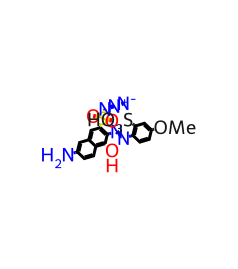 COc1ccc(N=Nc2c(S(=O)(=O)N=[N+]=[N-])cc3cc(N)ccc3c2O)c(S(=O)(=O)O)c1